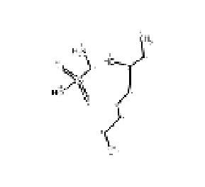 CCCCCC(O)CC.NCS(=O)(=O)O